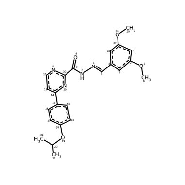 COc1cc(C=NNC(=O)c2nccc(-c3ccc(OC(C)C)cc3)n2)cc(OC)c1